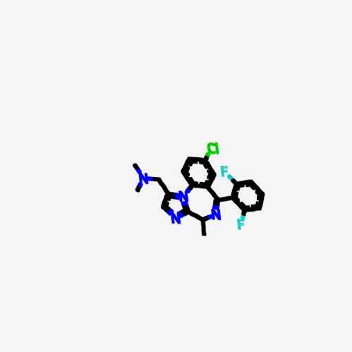 CC1N=C(c2c(F)cccc2F)c2cc(Cl)ccc2-n2c(CN(C)C)cnc21